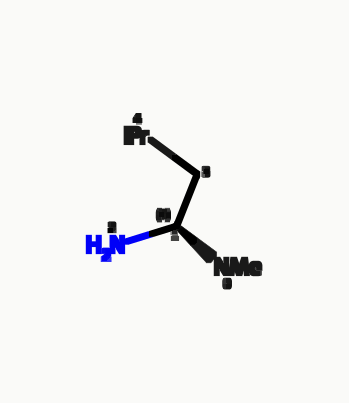 CN[C@@H](N)CC(C)C